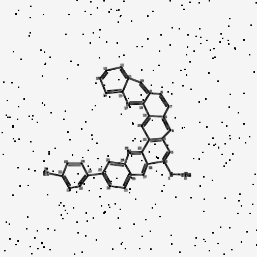 CCCCSc1cc2cc3ccc4cc5ccccc5nc4c3cc2c2nc3cc(-c4ccc(CC)cc4)ccc3cc12